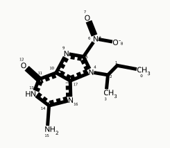 CCC(C)n1c([N+](=O)[O-])nc2c(=O)[nH]c(N)nc21